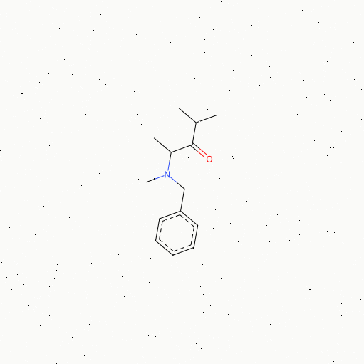 CC(C)C(=O)C(C)N(C)Cc1ccccc1